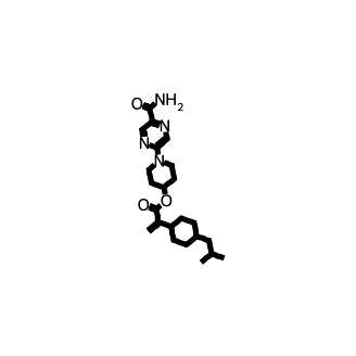 C=C(C(=O)OC1CCN(c2cnc(C(N)=O)cn2)CC1)C1CCC(CC(C)C)CC1